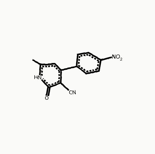 Cc1cc(-c2ccc([N+](=O)[O-])cc2)c(C#N)c(=O)[nH]1